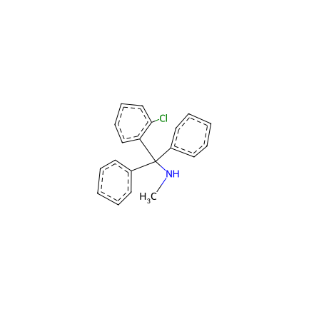 CNC(c1ccccc1)(c1ccccc1)c1ccccc1Cl